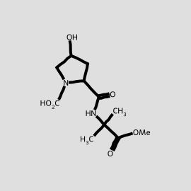 COC(=O)C(C)(C)NC(=O)C1CC(O)CN1C(=O)O